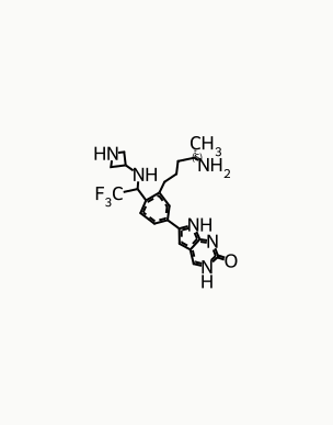 C[C@H](N)CCCc1cc(-c2cc3c[nH]c(=O)nc3[nH]2)ccc1C(NC1CNC1)C(F)(F)F